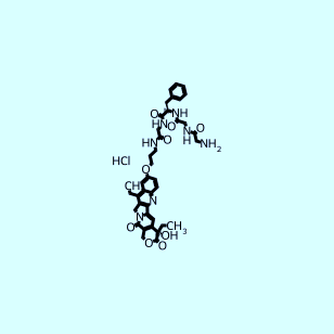 CCc1c2c(nc3ccc(OCCCNC(=O)CNC(=O)[C@@H](Cc4ccccc4)NC(=O)CNC(=O)CN)cc13)-c1cc3c(c(=O)n1C2)COC(=O)[C@]3(O)CC.Cl